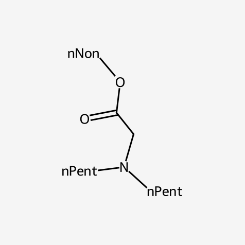 CCCCCCCCCOC(=O)CN(CCCCC)CCCCC